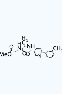 COC(=O)CNC(=O)[C@H](C)NC(=O)c1ccc(-c2cccc(C)c2)nc1